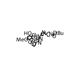 COc1cc(O)c(Cl)c(Nc2ncccc2-c2ncnc(Nc3cnn(C4CCN(C(=O)OC(C)(C)C)CC4)c3)n2)c1Cl